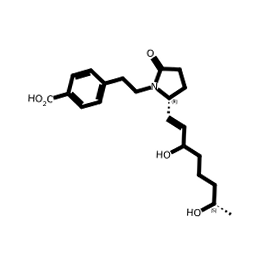 C[C@H](O)CCCC(O)C=C[C@H]1CCC(=O)N1CCc1ccc(C(=O)O)cc1